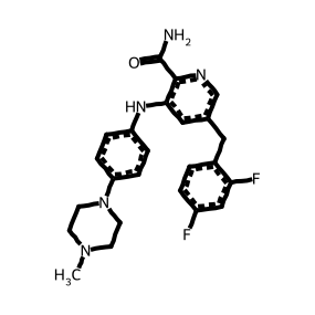 CN1CCN(c2ccc(Nc3cc(Cc4ccc(F)cc4F)cnc3C(N)=O)cc2)CC1